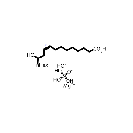 CCCCCCC(O)C/C=C\CCCCCCCC(=O)O.[Mg+2].[O-][Si](O)(O)O.[OH-]